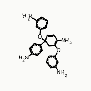 NC1=C(Oc2cccc(N)c2)CC(Oc2cccc(N)c2)(c2ccc(N)cc2)C=C1